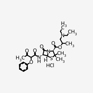 CCN(CC)CC(C)OC(=O)[C@@H]1N2C(=O)[C@@H](NC(=O)C(Oc3ccccc3)C(C)=O)[C@H]2SC1(C)C.Cl